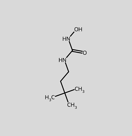 CC(C)(C)CCNC(=O)NO